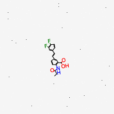 CCC(=O)Nc1ccc(C=Cc2ccc(F)c(F)c2)cc1C(=O)O